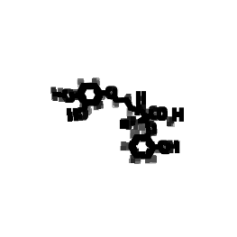 CCCC(NCCCOc1ccc(O)c(O)c1)(Oc1ccccc1O)C(=O)O